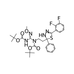 CON=C(NC(=O)OC(C)(C)C)N(CCC1(c2ccccc2)NN=C(c2cccc(F)c2F)S1)C(=O)OC(C)(C)C